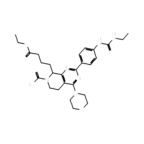 CCNC(=O)Nc1ccc(-c2nc3c(c(N4CCOCC4)n2)CCN(C(=O)O)C3CCCC(=O)OCC)cc1